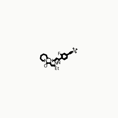 CCc1cc(C(=O)N2CCCCC[C@H]2C)nc2cc(-c3ccc(C#C[Si](C)(C)C)cc3F)nn12